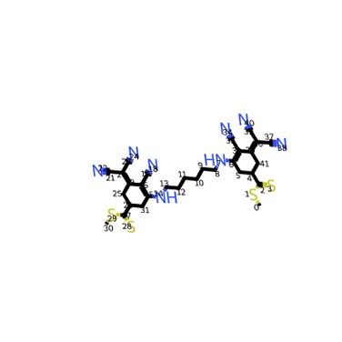 CSC(=S)C1CC(NCCCCCCNC2=C(C#N)C(=C(C#N)C#N)CC(C(=S)SC)C2)=C(C#N)C(=C(C#N)C#N)C1